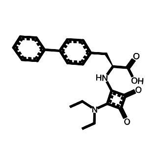 CCN(CC)c1c(N[C@@H](Cc2ccc(-c3ccccc3)cc2)C(=O)O)c(=O)c1=O